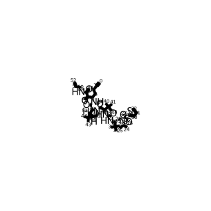 C#CCCC(NC(=O)[C@@H]1[C@@H]2[C@H](CN1C(=O)[C@@H](NC(=O)N[C@H](CN(C(C)C)S(=O)(=O)c1cccs1)C(C)(C)C)C(C)(C)C)C2(C)C)C(=O)C(=O)NCC=C